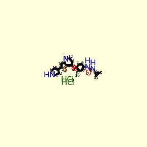 Cl.Cl.O=C(Nc1ccc(Oc2ccnc3cc(C4=CCNCC4)sc23)c(F)c1)NC1CC1